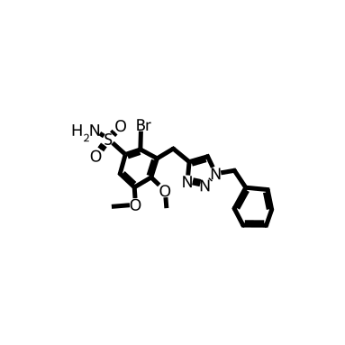 COc1cc(S(N)(=O)=O)c(Br)c(Cc2cn(Cc3ccccc3)nn2)c1OC